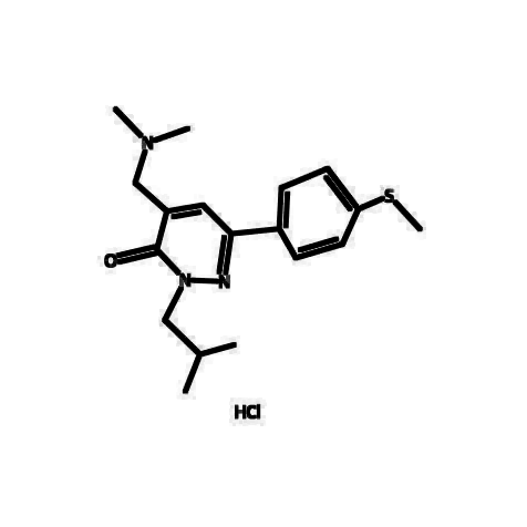 CSc1ccc(-c2cc(CN(C)C)c(=O)n(CC(C)C)n2)cc1.Cl